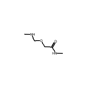 CNCOCC(=O)NC